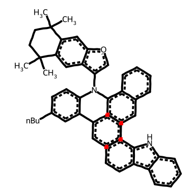 CCCCc1ccc(N(c2cc(-c3cccc4c3[nH]c3ccccc34)cc3ccccc23)c2coc3cc4c(cc23)C(C)(C)CCC4(C)C)c(-c2ccccc2)c1